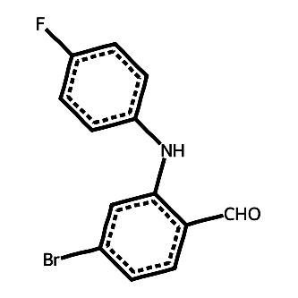 O=Cc1ccc(Br)cc1Nc1ccc(F)cc1